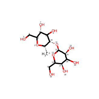 C[C@@H]1OC(CO)[C@H](O)C(O)[C@@H]1O[C@@H]1OC(CO)[C@H](O)C(O)[C@@H]1O